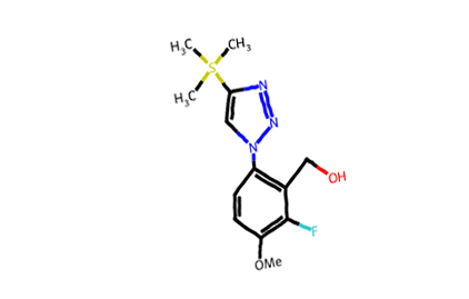 COc1ccc(-n2cc(S(C)(C)C)nn2)c(CO)c1F